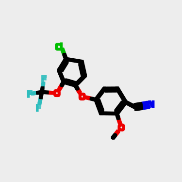 COc1cc(Oc2ccc(Cl)cc2OC(F)(F)F)ccc1C#N